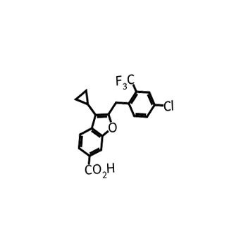 O=C(O)c1ccc2c(C3CC3)c(Cc3ccc(Cl)cc3C(F)(F)F)oc2c1